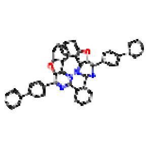 c1ccc(-c2ccc(-c3nc(-c4ccccc4-c4nc(-c5ccc(-c6ccccc6)cc5)c5oc6ccccc6c5n4)nc4c3oc3ccccc34)cc2)cc1